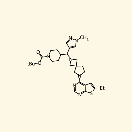 CCc1cc2c(N3CCC4(C3)CN(C(c3cnn(C)c3)C3CCN(C(=O)OC(C)(C)C)CC3)C4)ncnc2s1